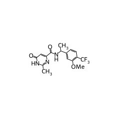 COc1cc(C(C)NC(=O)c2cc(=O)[nH]c(C)n2)ccc1C(F)(F)F